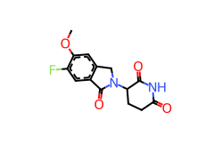 COc1cc2c(cc1F)C(=O)N(C1CCC(=O)NC1=O)C2